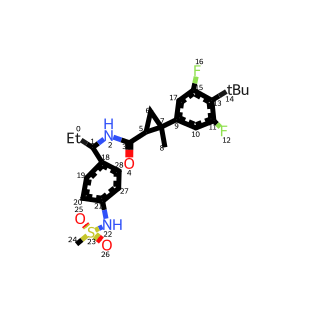 CCC(NC(=O)C1CC1(C)c1cc(F)c(C(C)(C)C)c(F)c1)c1ccc(NS(C)(=O)=O)cc1